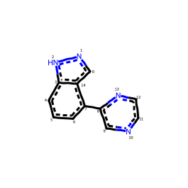 [c]1n[nH]c2cccc(-c3cnccn3)c12